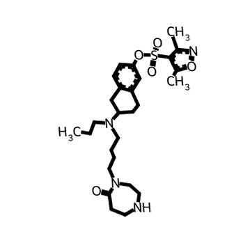 CCCN(CCCCN1CCNCCC1=O)C1CCc2cc(OS(=O)(=O)c3c(C)noc3C)ccc2C1